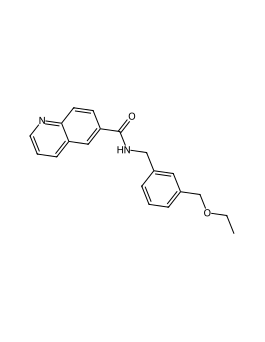 CCOCc1cccc(CNC(=O)c2ccc3ncccc3c2)c1